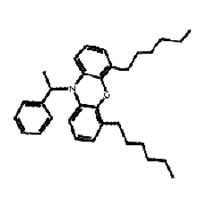 CCCCCCc1cccc2c1Oc1c(CCCCCC)cccc1N2C(C)c1ccccc1